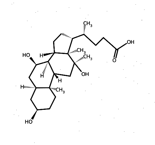 C[C@H](CCC(=O)O)[C@H]1CC[C@H]2[C@@H]3[C@H](O)C[C@@H]4C[C@H](O)CC[C@]4(C)[C@H]3C[C@](C)(O)[C@]12C